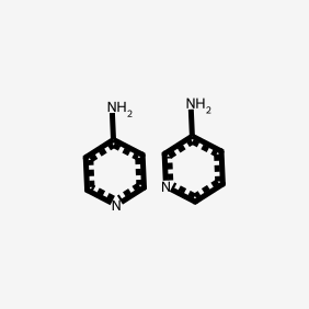 Nc1cccnc1.Nc1ccncc1